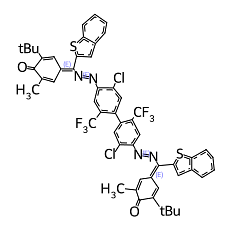 CC1=C/C(=C(\N=N\c2cc(C(F)(F)F)c(-c3cc(Cl)c(/N=N/C(=C4\C=C(C)C(=O)C(C(C)(C)C)=C4)c4cc5ccccc5s4)cc3C(F)(F)F)cc2Cl)c2cc3ccccc3s2)C=C(C(C)(C)C)C1=O